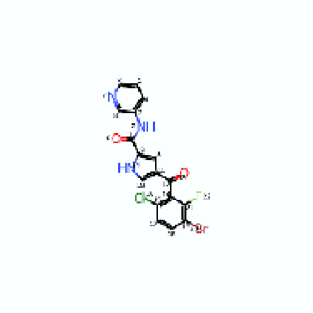 O=C(Nc1cccnc1)c1cc(C(=O)c2c(Cl)ccc(Br)c2F)c[nH]1